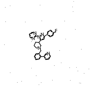 Fc1ccc(-c2cc(C3CCCN(Cc4ccccc4-c4cccnc4)C3)n(-c3ncccn3)n2)cc1